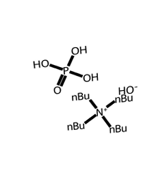 CCCC[N+](CCCC)(CCCC)CCCC.O=P(O)(O)O.[OH-]